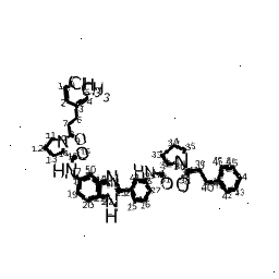 C/C=C\C(=C/C)CCC(=O)N1CCC[C@H]1C(=O)Nc1ccc2[nH]c(-c3cccc(NC(=O)[C@@H]4CCCN4C(=O)CCc4ccccc4)c3)nc2c1